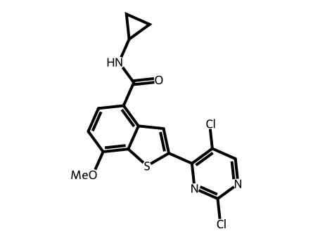 COc1ccc(C(=O)NC2CC2)c2cc(-c3nc(Cl)ncc3Cl)sc12